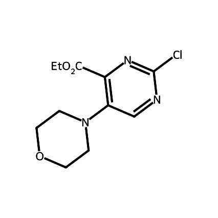 CCOC(=O)c1nc(Cl)ncc1N1CCOCC1